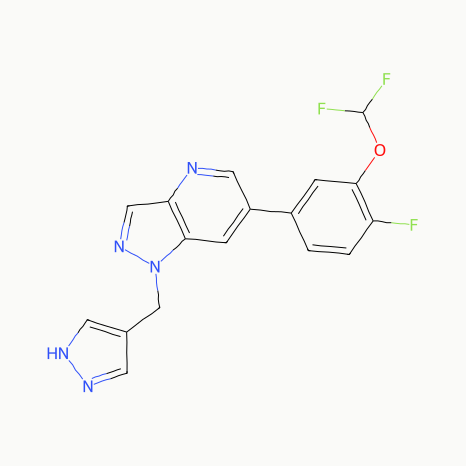 Fc1ccc(-c2cnc3cnn(Cc4cn[nH]c4)c3c2)cc1OC(F)F